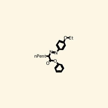 CCCCCC(N=Nc1ccc(OCC)cc1)C(=O)Oc1ccccc1